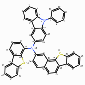 c1ccc(-n2c3ccccc3c3cc(N(c4ccc5ccc6c7ccccc7sc6c5c4)c4cccc5c4sc4ccccc45)ccc32)cc1